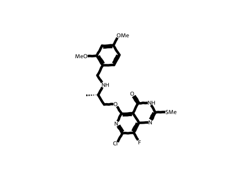 COc1ccc(CN[C@@H](C)COc2nc(Cl)c(F)c3nc(SC)[nH]c(=O)c23)c(OC)c1